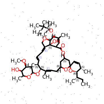 CC[C@H](C)[C@H]1OC2(C=C[C@@H]1C)C[C@@H]1C[C@@H](C/C=C(\C)[C@@H](OC3CC(OC)C(O)C(C)O3)[C@@H](C)/C=C/C=C3\CO[C@@H]4[C@H](O[Si](C)(C)C(C)(C)C)C(C)=CC(C(=O)O1)[C@]34O)O2